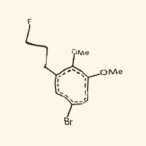 COc1cc(Br)cc(CCCF)c1OC